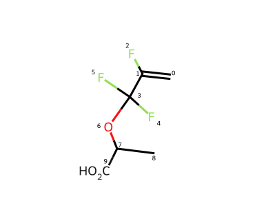 C=C(F)C(F)(F)OC(C)C(=O)O